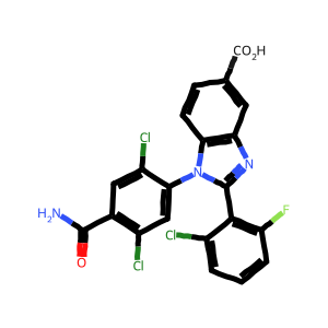 NC(=O)c1cc(Cl)c(-n2c(-c3c(F)cccc3Cl)nc3cc(C(=O)O)ccc32)cc1Cl